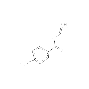 C=COC(=O)c1ccc([N+](=O)[O-])cc1